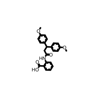 COc1ccc(C(CC(=O)Nc2ccccc2C(=O)O)c2ccc(OC)cc2)cc1